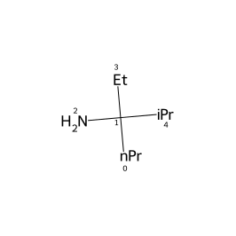 [CH2]CCC(N)(CC)C(C)C